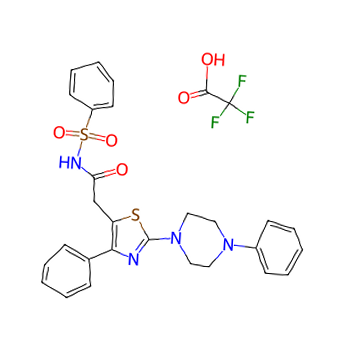 O=C(Cc1sc(N2CCN(c3ccccc3)CC2)nc1-c1ccccc1)NS(=O)(=O)c1ccccc1.O=C(O)C(F)(F)F